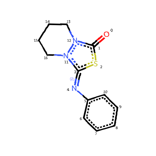 O=c1s/c(=N\c2ccccc2)n2n1CCCC2